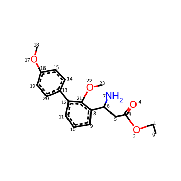 CCOC(=O)CC(N)c1cccc(-c2ccc(OC)cc2)c1OC